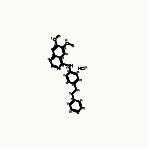 COc1cc2ncnc(Nc3ccc(CCc4ccccc4)cc3)c2cc1OC.Cl